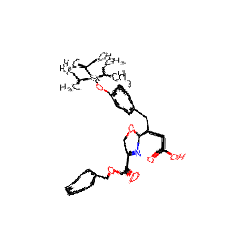 CC(C)[Si](Oc1ccc(CC(CC(=O)O)C2N=C(C(=O)OCc3ccccc3)CO2)cc1)(C(C)C)C(C)C